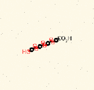 O=C(O)c1ccc(OC(=O)c2ccc(OC(=O)c3ccc(OC(=O)c4ccc(O)cc4)cc3)cc2)cc1